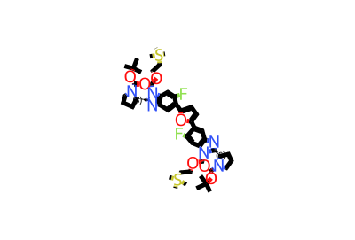 CC(C)(C)OC(=O)N1CCC[C@H]1c1nc2cc(-c3ccc(-c4cc5nc([C@@H]6CCCN6C(=O)OC(C)(C)C)n(COCCS(C)(C)C)c5cc4F)o3)c(F)cc2n1COCCS(C)(C)C